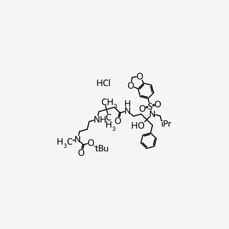 CC(C)CN(C(O)(CCNC(=O)CC(C)(C)CNCCCN(C)C(=O)OC(C)(C)C)Cc1ccccc1)S(=O)(=O)c1ccc2c(c1)OCO2.Cl